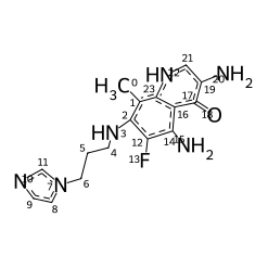 Cc1c(NCCCn2ccnc2)c(F)c(N)c2c(=O)c(N)c[nH]c12